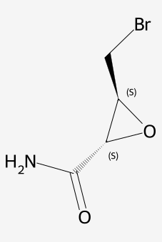 NC(=O)[C@H]1O[C@@H]1CBr